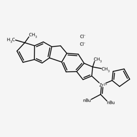 CCCC[C](CCCC)=[Zr+2]([C]1=CC=CC1)[C]1=Cc2cc3c(cc2C1(C)C)Cc1cc2c(cc1-3)C=CC2(C)C.[Cl-].[Cl-]